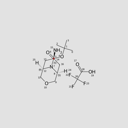 CC(C)(C)OC(=O)N1[C@@H]2COC[C@H]1C[C@@H](N)C2.O=C(O)C(F)(F)F